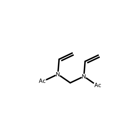 C=CN(CN(C=C)C(C)=O)C(C)=O